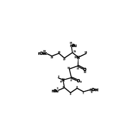 CCCCCCCCCCCCCC(CCCC)N(C)C(=O)CC(=O)N(C)C(CCCC)CCCCCCCCCCCCC